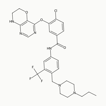 CCCN1CCN(Cc2ccc(NC(=O)c3ccc(Cl)c(Oc4ncnc5c4OCCN5)c3)cc2C(F)(F)F)CC1